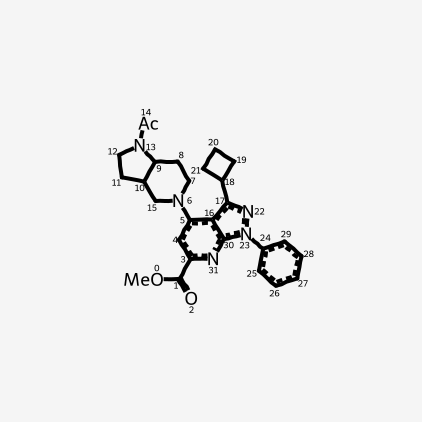 COC(=O)c1cc(N2CCC3C(CCN3C(C)=O)C2)c2c(C3CCC3)nn(-c3ccccc3)c2n1